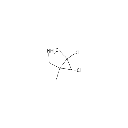 CC1(CN)CC1(Cl)Cl.Cl